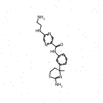 CC1(c2cccc(NC(=O)c3cnc(NCCN)cn3)c2)CCSC(N)=N1